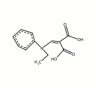 CCN(C=C(C(=O)O)C(=O)O)c1ccccc1